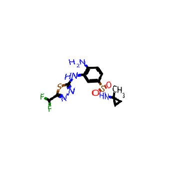 CC1(NS(=O)(=O)c2ccc(N)c(Nc3nnc(C(F)F)s3)c2)CC1